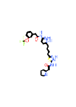 O=C(Cc1cccc(OC(F)(F)F)c1)NC1=CC=C(CCCCC2NN=C(NC(=O)Cc3ccccn3)S2)NN1